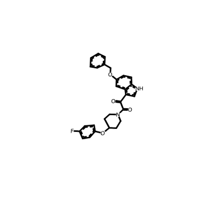 O=C(C(=O)N1CCC(Oc2ccc(F)cc2)CC1)c1c[nH]c2ccc(OCc3ccccc3)cc12